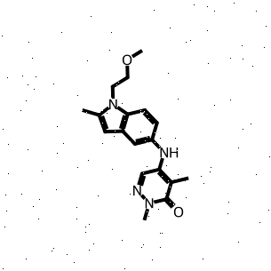 COCCn1c(C)cc2cc(Nc3cnn(C)c(=O)c3C)ccc21